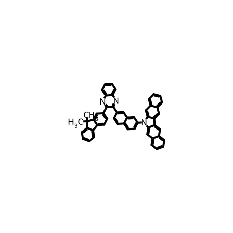 CC1(C)c2ccccc2-c2ccc(-c3nc4ccccc4nc3-c3ccc4ccc(-n5c6cc7ccccc7cc6c6cc7ccccc7cc65)cc4c3)cc21